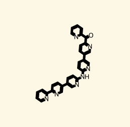 O=C(c1ccccn1)c1ccc(-c2ccc(Nc3ccc(-c4ccc(-c5ccccn5)nc4)cn3)nc2)cn1